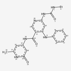 CCNC(=O)Nc1cc(Nc2ccccc2)c(C(=O)Nc2cc(C)[nH]c(=O)c2)cn1